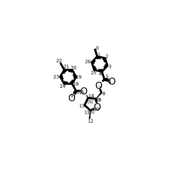 Cc1ccc(C(=O)OC[C@H]2O[C@@H](C)C[C@@H]2OC(=O)c2ccc(C)cc2)cc1